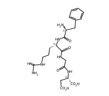 N=C(N)NCCC[C@H](NC(=O)[C@@H](N)Cc1ccccc1)C(=O)NCC(=O)N[C@@H](CC(=O)O)C(=O)O